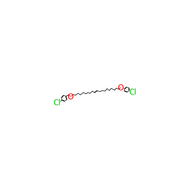 Clc1ccc(COCCCCCCCCCC=CCCCCCCCCCOc2ccc(Cl)cc2)cc1